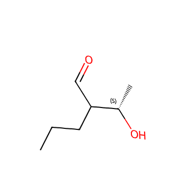 CCCC(C=O)[C@H](C)O